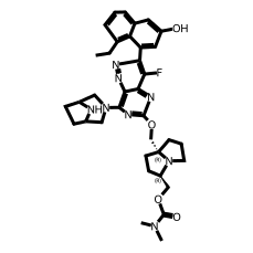 CCc1cccc2cc(O)cc(-c3nnc4c(N5CC6CCC(C5)N6)nc(OC[C@]56CCCN5[C@@H](COC(=O)N(C)C)CC6)nc4c3F)c12